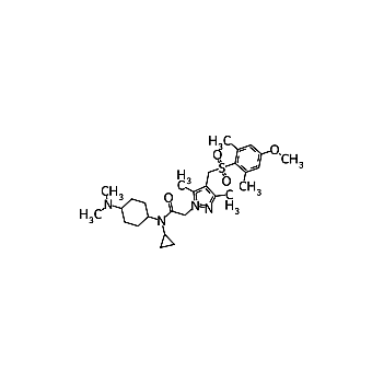 COc1cc(C)c(S(=O)(=O)Cc2c(C)nn(CC(=O)N(C3CCC(N(C)C)CC3)C3CC3)c2C)c(C)c1